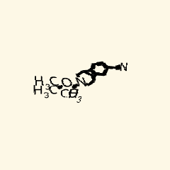 CC(C)(C)OC(=O)N1CC2CC(C1)c1cc(C#N)ccc12